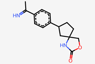 CC(=N)c1ccc(C2CCC3(COC(=O)N3)C2)cc1